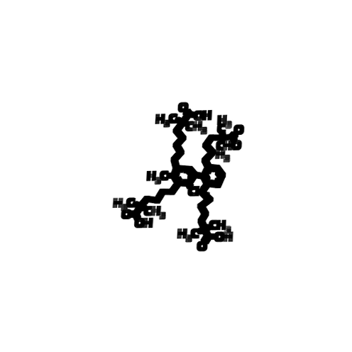 Cc1c(CCCCCC(C)(C)C(=O)O)cc(-c2c(CCCCCC(C)(C)C(=O)O)cccc2CCCCC(C)(C)C(=O)O)c(C)c1CCCCC(C)(C)C(=O)O